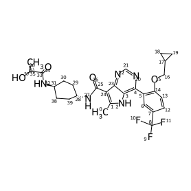 Cc1[nH]c2c(-c3cc(C(F)(F)F)ccc3OCC3CC3)ncnc2c1C(=O)N[C@H]1CC[C@H](NC(=O)[C@H](C)O)CC1